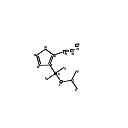 CC(C)O[Si](C)(C)C1=[C]([Ti+2])CC=C1.[Cl-].[Cl-]